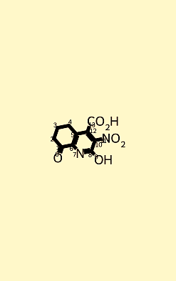 O=C1CCCc2c1nc(O)c([N+](=O)[O-])c2C(=O)O